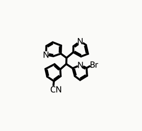 N#Cc1cccc(C(c2cccc(Br)n2)C(c2cccnc2)c2cccnc2)c1